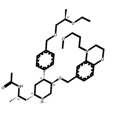 CCO[C@H](C)COCc1ccc([C@H]2C[C@@H](C[C@H](C)NC(C)=O)NC[C@@H]2OCc2ccc3c(c2)N(CCCOC)CCO3)cc1